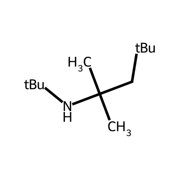 CC(C)(C)CC(C)(C)NC(C)(C)C